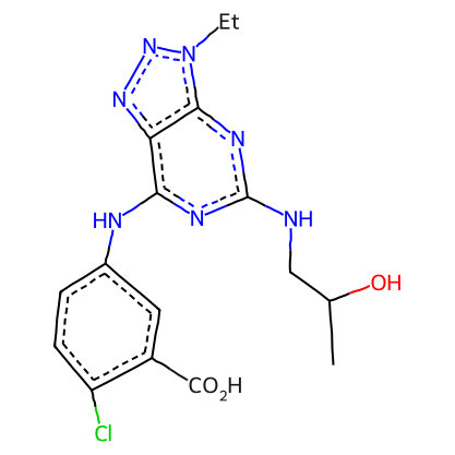 CCn1nnc2c(Nc3ccc(Cl)c(C(=O)O)c3)nc(NCC(C)O)nc21